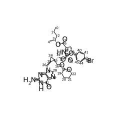 CCC[C@H](C)OC(=O)C(C)NP(=O)(OC[C@@]1(COC2CCCCO2)C/C1=C/n1cnc2c(=O)[nH]c(N)nc21)Oc1ccc(Br)cc1